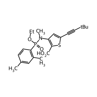 CCOP(=O)(c1ccc(C)cc1C)N(C)c1cc(C#CC(C)(C)C)sc1C(=O)O